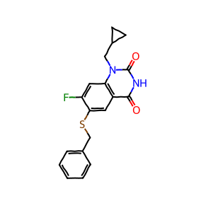 O=c1[nH]c(=O)n(CC2CC2)c2cc(F)c(SCc3ccccc3)cc12